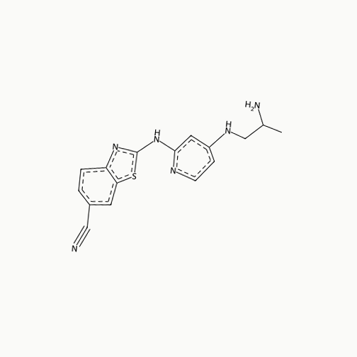 CC(N)CNc1ccnc(Nc2nc3ccc(C#N)cc3s2)c1